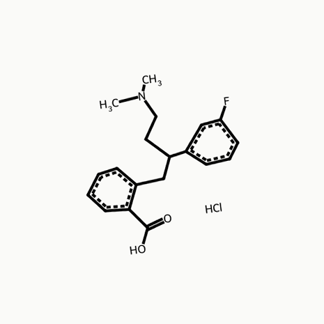 CN(C)CCC(Cc1ccccc1C(=O)O)c1cccc(F)c1.Cl